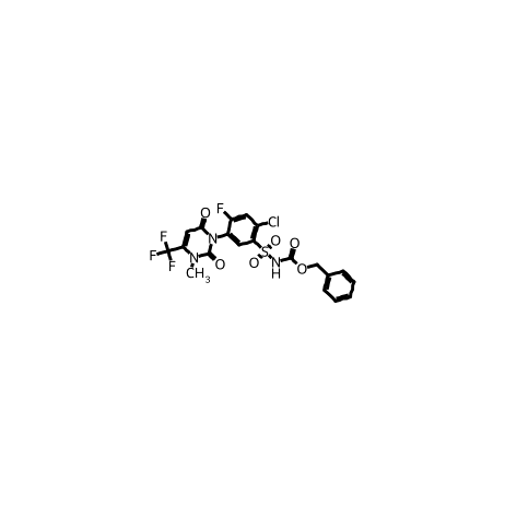 Cn1c(C(F)(F)F)cc(=O)n(-c2cc(S(=O)(=O)NC(=O)OCc3ccccc3)c(Cl)cc2F)c1=O